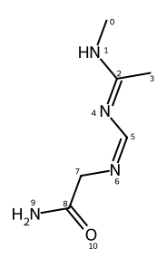 CN/C(C)=N/C=N\CC(N)=O